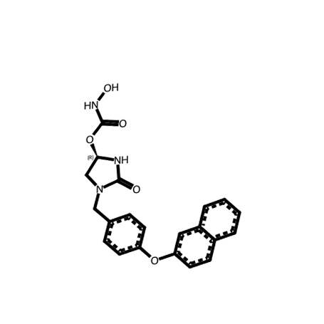 O=C(NO)O[C@@H]1CN(Cc2ccc(Oc3ccc4ccccc4c3)cc2)C(=O)N1